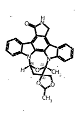 CC1OC[C@]2(C[C@H]3O[C@]2(C)n2c4ccccc4c4c5c(c6c7ccccc7n3c6c42)C(=O)NC5)O1